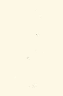 COC(=O)CNC(=O)C(NC1CCSC1=O)C1CC1